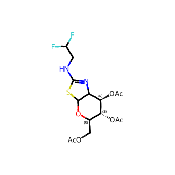 CC(=O)OC[C@H]1OC2SC(NCC(F)F)=NC2[C@@H](OC(C)=O)[C@@H]1OC(C)=O